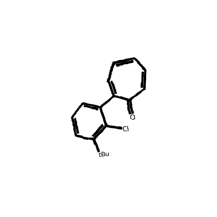 CC(C)(C)c1cccc(-c2cccccc2=O)c1Cl